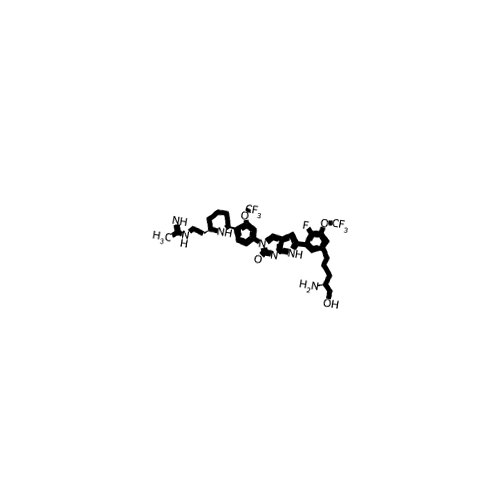 CC(=N)NCC[C@@H]1CCC[C@@H](c2ccc(-n3cc4cc(-c5cc(CCC[C@@H](N)CO)cc(OC(F)(F)F)c5F)[nH]c4nc3=O)cc2OC(F)(F)F)N1